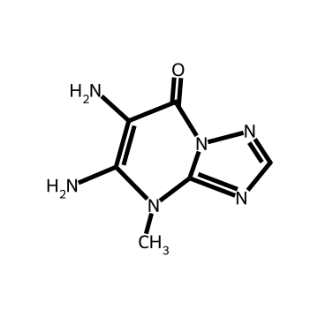 Cn1c(N)c(N)c(=O)n2ncnc12